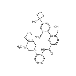 CO[C@H]1[C@H](N)C[C@H](c2ccncc2NC(=O)c2ccc(F)c(-c3c(O)cc(C4(O)CCC4)cc3F)n2)C[C@@H]1C